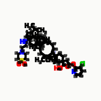 C=C(C)[C@@H]1CC[C@]2(NCCN3CCS(=O)(=O)CC3)CC[C@]3(C)[C@H](CC[C@@H]4CC/C=C(/C5=CCC(CCOc6ncccc6Cl)(C(=O)O)CC5)C(C)(C)[C@@H](C)CC[C@]43C)[C@@H]12